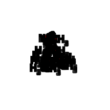 COc1ccc(N(CCS[C@@H]2C(=O)O[C@@]3(C)[C@H]2[C@@H](C)C(=O)[C@H](C)C[C@@](C)(OC)[C@H](O[C@@H]2O[C@H](C)C[C@H](N(C)C)[C@H]2O)[C@@H](C)[C@H](O[C@H]2C[C@@](C)(OC)[C@@H](O)[C@H](C)O2)[C@@H](C)C(=O)O[C@@H]3I)Cc2cccnc2)cc1OC1CCCC1